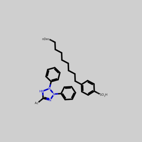 CC(=O)C1=NN(c2ccccc2)N(c2ccccc2)N1.CCCCCCCCCCCCCCCCCCc1ccc(S(=O)(=O)O)cc1